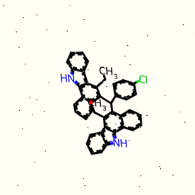 CCc1c(C(c2ccc(Cl)cc2)c2c(CC)c3c4ccccc4[nH]c3c3ccccc23)c2ccccc2c2[nH]c3ccccc3c12